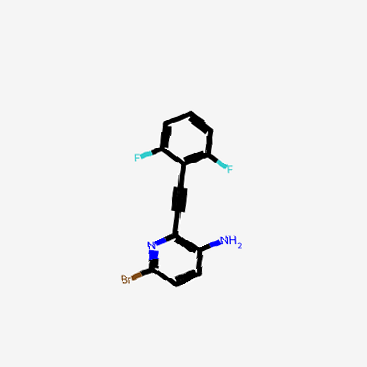 Nc1ccc(Br)nc1C#Cc1c(F)cccc1F